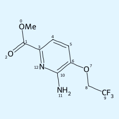 COC(=O)c1ccc(OCC(F)(F)F)c(N)n1